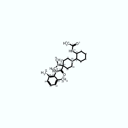 CC(=O)NC1CCCCC1N1CCC(C(=O)Nc2c(C)cccc2C)(N(C)C)CC1